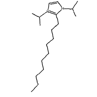 CCCCCCCCCCc1n(C(C)C)cc[n+]1C(C)C